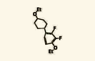 CCOc1ccc(C2CCC(OCC)CC2)c(F)c1F